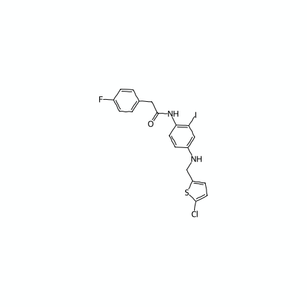 O=C(Cc1ccc(F)cc1)Nc1ccc(NCc2ccc(Cl)s2)cc1I